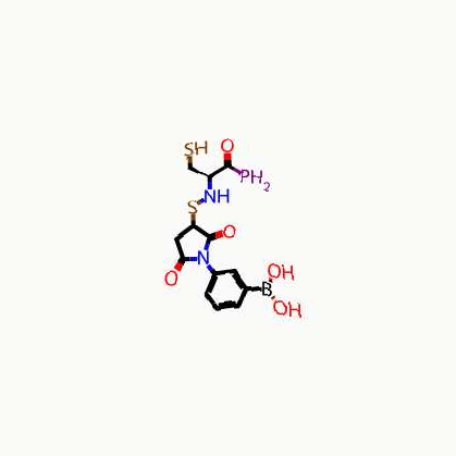 O=C(P)[C@H](CS)NSC1CC(=O)N(c2cccc(B(O)O)c2)C1=O